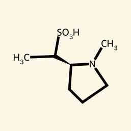 CC([C@@H]1CCCN1C)S(=O)(=O)O